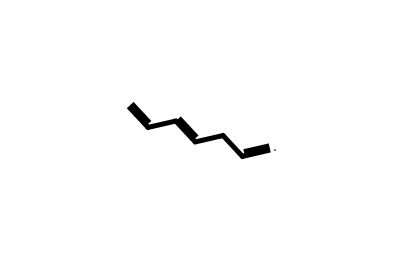 [CH]=CCC=CC=C